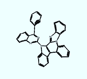 c1ccc(-c2nc(-n3c4ccccc4c4c5ccccc5n5c6ccccc6nc5c43)nc3ccccc23)cc1